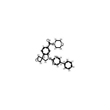 O=C(c1ccc2c(c1)N(c1ncc(-c3ccccc3)cn1)CC21COC1)N1CCOCC1